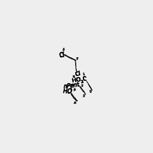 CC(=O)O.CCCCCC.CO.ClCCl